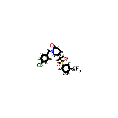 CC(C)([C@H]1CCC(=O)N(Cc2ccc(Cl)cc2)C1)S(=O)(=O)c1cccc(C(F)(F)F)c1